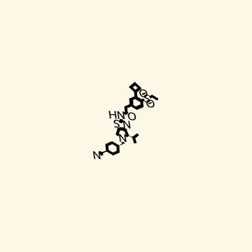 CCS(=O)(=O)c1ccc(CC(=O)Nc2nc3c(s2)CN(C[C@H]2CC[C@H](C#N)CC2)[C@H]3C(C)C)cc1C1CCC1